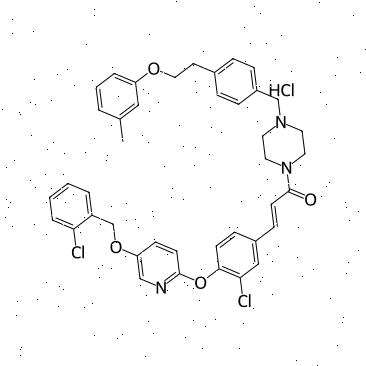 Cc1cccc(OCCc2ccc(CN3CCN(C(=O)/C=C/c4ccc(Oc5ccc(OCc6ccccc6Cl)cn5)c(Cl)c4)CC3)cc2)c1.Cl